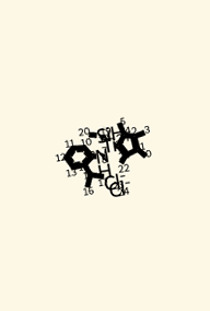 CC1=C(C)C(C)[C]([Ti+2]([NH]c2ccccc2C(C)C)[SiH](C)C)=C1C.[Cl-].[Cl-]